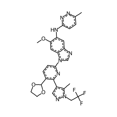 COc1cc2c(cc1Nc1ccc(C)nn1)ncn2-c1ccc(C2OCCO2)c(-c2cnn(CC(F)(F)F)c2C)n1